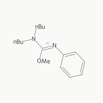 CCCCN(CCCC)/C(=N/c1ccccc1)OC